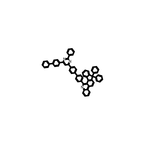 c1ccc(-c2ccc(-c3cc(-c4ccc(-c5ccc(-c6nc7ccccc7c7ccc8c(c67)-c6ccccc6C8(c6ccccc6)c6ccccc6)cc5)cc4)nc(-c4ccccc4)n3)cc2)cc1